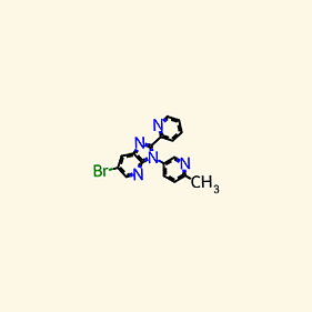 Cc1ccc(-n2c(-c3ccccn3)nc3cc(Br)cnc32)cn1